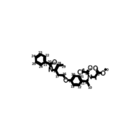 COC(=O)CN(C(=O)Cl)C(C)c1ccc(OCCc2nc(-c3ccccc3)oc2C)cc1